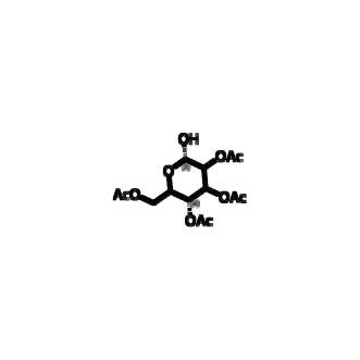 CC(=O)OCC1O[C@H](O)C(OC(C)=O)C(OC(C)=O)[C@@H]1OC(C)=O